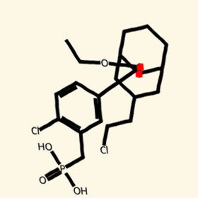 CCOC1(c2ccc(Cl)c(CP(=O)(O)O)c2)OOC12C1CCCC2CC(CCCl)C1